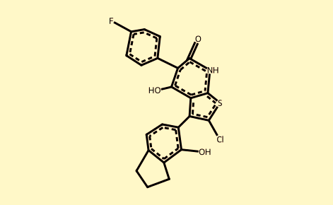 O=c1[nH]c2sc(Cl)c(-c3ccc4c(c3O)CCC4)c2c(O)c1-c1ccc(F)cc1